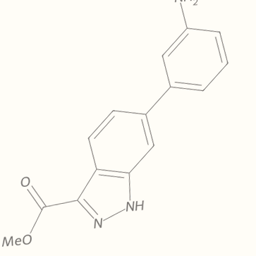 COC(=O)c1n[nH]c2cc(-c3cccc(N)c3)ccc12